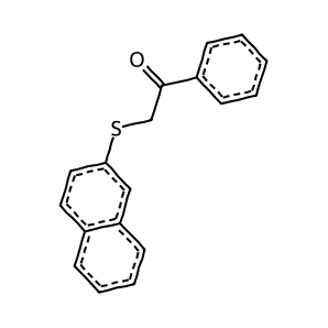 O=C(CSc1ccc2ccccc2c1)c1ccccc1